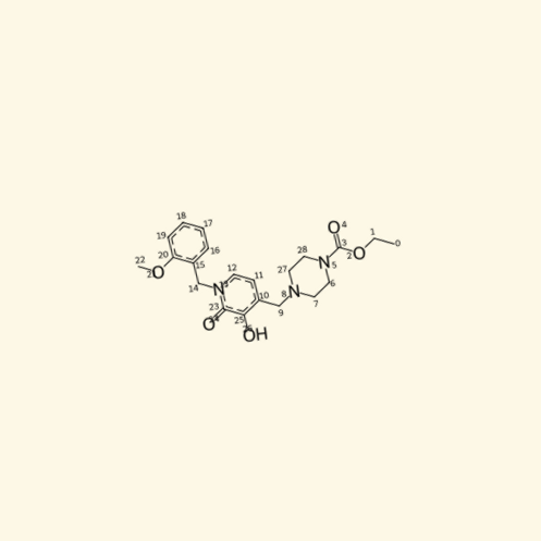 CCOC(=O)N1CCN(Cc2ccn(Cc3ccccc3OC)c(=O)c2O)CC1